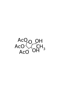 CC(=O)OC1O[C@H]([C@@H](C)O)[C@@H](O)[C@H](OC(C)=O)[C@@H]1OC(C)=O